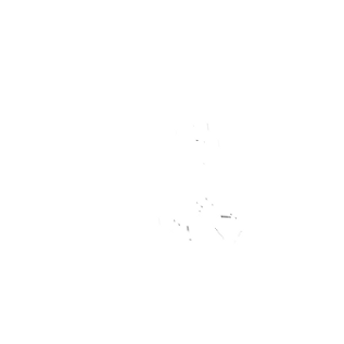 C[Si](C)(C)CCOCn1nc(C(N)=O)c2cccnc21